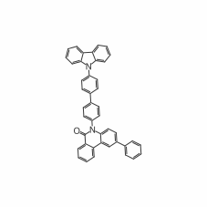 O=c1c2ccccc2c2cc(-c3ccccc3)ccc2n1-c1ccc(-c2ccc(-n3c4ccccc4c4ccccc43)cc2)cc1